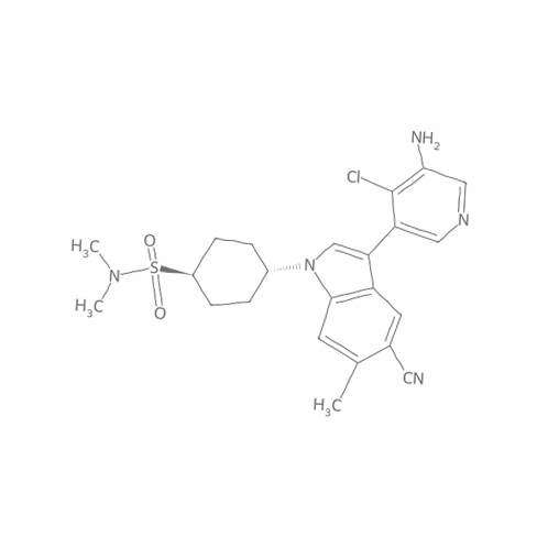 Cc1cc2c(cc1C#N)c(-c1cncc(N)c1Cl)cn2[C@H]1CC[C@H](S(=O)(=O)N(C)C)CC1